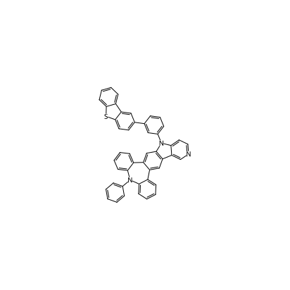 c1ccc(N2c3ccccc3-c3cc4c5cnccc5n(-c5cccc(-c6ccc7sc8ccccc8c7c6)c5)c4cc3-c3ccccc32)cc1